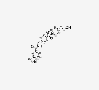 O=C(NCc1ccc(S(=O)(=O)N2CCN(CCO)CC2)cc1)c1ccc2nccn2c1